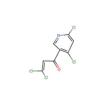 O=C(C=C(Cl)Cl)c1cnc(Cl)cc1Cl